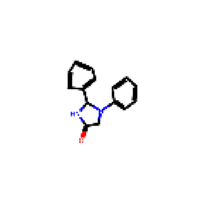 O=C1CN(c2ccccc2)C(c2ccccc2)N1